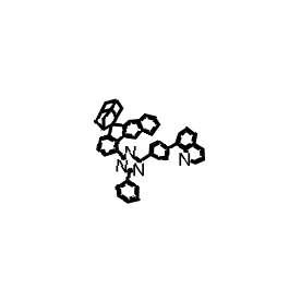 c1ccc(-c2nc(-c3ccc(-c4cccc5cccnc45)cc3)nc(-c3cccc4c3-c3cc5ccccc5cc3C43C4CC5CC(C4)CC3C5)n2)cc1